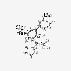 Cc1cc2c(cc1C(C)(C)C)-c1cc(C(C)(C)C)c(C)[c]([Zr+2]([C]3=CC=CC3)=[C]3CC3)c1C2.[Cl-].[Cl-]